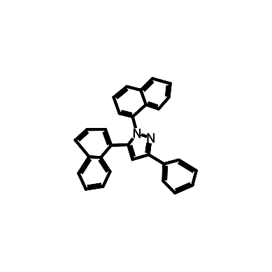 c1ccc(-c2cc(-c3cccc4ccccc34)n(-c3cccc4ccccc34)n2)cc1